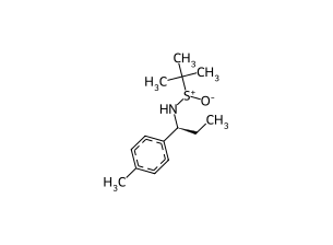 CC[C@H](N[S+]([O-])C(C)(C)C)c1ccc(C)cc1